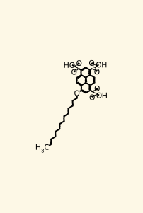 CCCCCCCCCCCCCCOc1cc(S(=O)(=O)O)c2ccc3c(S(=O)(=O)O)cc(S(=O)(=O)O)c4ccc1c2c43